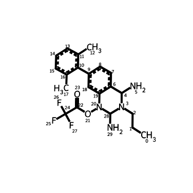 CCCN1C(N)c2ccc(-c3c(C)cccc3C)cc2N(OC(=O)C(F)(F)F)C1N